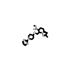 CSNC1CCc2cc(C)nn2C1COC1CCN(c2ncccn2)CC1